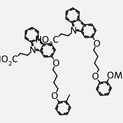 COc1ccccc1OCCCCOc1ccc2c3ccccc3n(CCC(=O)O)c2c1.Cc1ccccc1OCCCCOc1ccc2c3ccccc3n(CCC(=O)O)c2c1